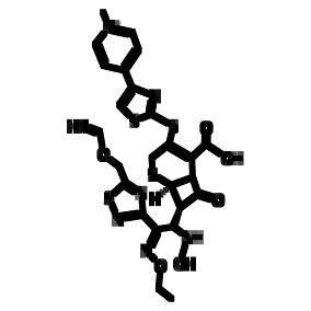 CCO/N=C(/c1nsc(COC=N)n1)C(NO)[C@@H]1C(=O)C2C(C(=O)O)=C(Sc3nc(-c4cc[n+](C)cc4)cs3)CS[C@@H]21